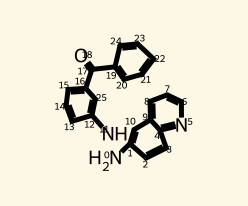 Nc1ccc2ncccc2c1.Nc1cccc(C(=O)c2ccccc2)c1